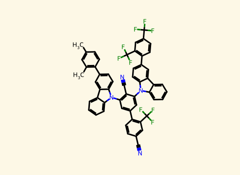 Cc1ccc(-c2ccc3c(c2)c2ccccc2n3-c2cc(-c3ccc(C#N)cc3C(F)(F)F)cc(-n3c4ccccc4c4cc(-c5ccc(C(F)(F)F)cc5C(F)(F)F)ccc43)c2C#N)c(C)c1